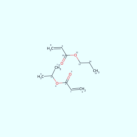 C=CC(=O)OC(C)C.C=CC(=O)OCCC